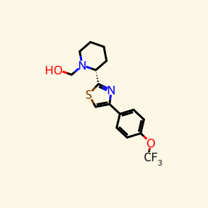 OCN1CCCC[C@@H]1c1nc(-c2ccc(OC(F)(F)F)cc2)cs1